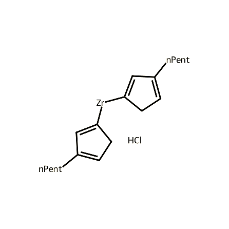 CCCCCC1=CC[C]([Zr][C]2=CC(CCCCC)=CC2)=C1.Cl